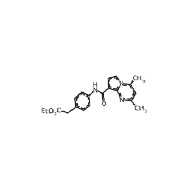 CCOC(=O)Cc1ccc(NC(=O)c2ccn3c(C)cc(C)nc23)cc1